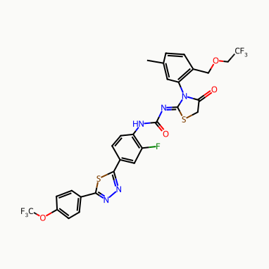 Cc1ccc(COCC(F)(F)F)c(N2C(=O)CSC2=NC(=O)Nc2ccc(-c3nnc(-c4ccc(OC(F)(F)F)cc4)s3)cc2F)c1